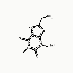 Cl.Cn1c(=O)c2[nH]c(CN)nc2n(C)c1=O